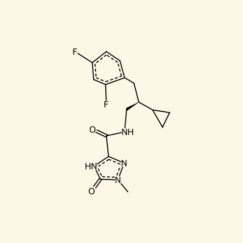 Cn1nc(C(=O)NC[C@@H](Cc2ccc(F)cc2F)C2CC2)[nH]c1=O